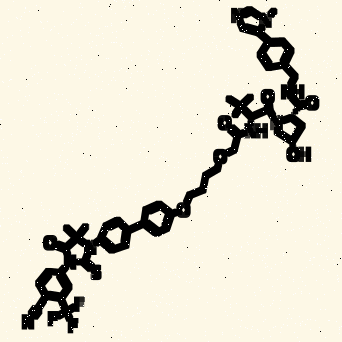 Cn1cncc1-c1ccc(CNC(=O)[C@@H]2C[C@@H](O)CN2C(=O)[C@@H](NC(=O)COCCCCOc2ccc(-c3ccc(N4C(=S)N(c5ccc(C#N)c(C(F)(F)F)c5)C(=O)C4(C)C)cc3)cc2)C(C)(C)C)cc1